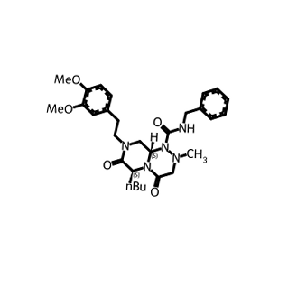 CCCC[C@H]1C(=O)N(CCc2ccc(OC)c(OC)c2)C[C@H]2N1C(=O)CN(C)N2C(=O)NCc1ccccc1